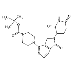 CC(C)(C)OC(=O)N1CCN(c2nccc3c2CN(C2CCC(=O)NC2=O)C3=O)CC1